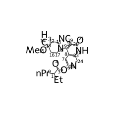 CCCC(CC)C(=O)Oc1cc2c(N3CCC(C)(OC)CC3)c(C#N)c(=O)[nH]c2cn1